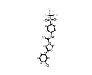 O=C(Nc1ccc(S(=O)(=O)C(F)(F)F)cc1)C1CSC(c2cccc(Cl)c2)=N1